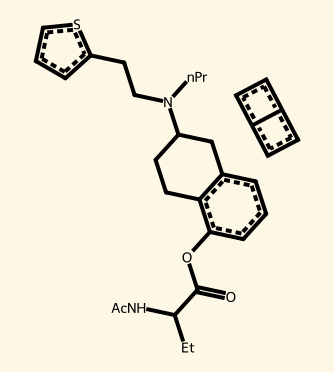 CCCN(CCc1cccs1)C1CCc2c(cccc2OC(=O)C(CC)NC(C)=O)C1.c1cc2ccc1-2